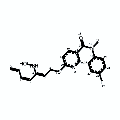 C=C/C=C\C(BO)=C\CSc1ccc(C(=O)N(C)c2ccc(F)cc2)cn1